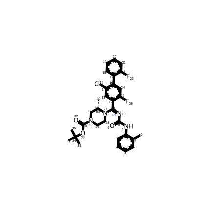 Cc1ccccc1NC(=O)/N=C(/c1cc(Cl)c(-c2ccccc2F)cc1F)N1CCN(C(=O)OC(C)(C)C)C[C@@H]1C